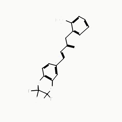 O=C(/C=C/c1ccc2c(c1)OC(F)(F)C(F)(F)O2)Cc1ccccc1C(=O)O